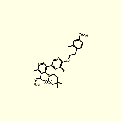 COc1ccc(CCOc2ncc(-c3cnc(C)c(C(OC(C)(C)C)C(=O)O)c3N3CCC(C)(C)CC3)cc2F)c(C)c1